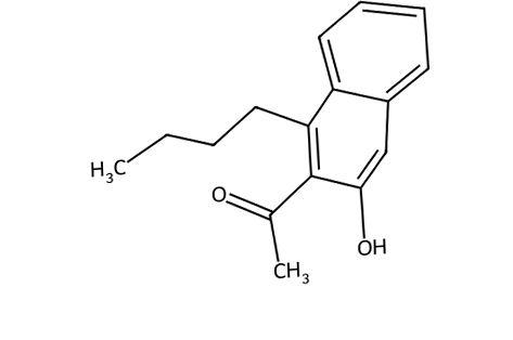 CCCCc1c(C(C)=O)c(O)cc2ccccc12